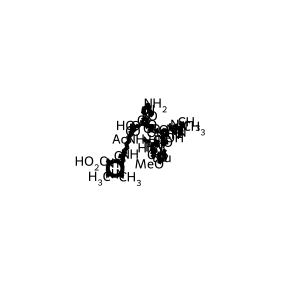 COc1ccc(C[C@H](NC(=O)[C@@H](CCCNC(C)=O)NC(=O)OC(C)(C)C)C(=O)NC2[C@@H](COP(=O)(O)OC3C[C@H](n4ccc(N)nc4=O)O[C@@H]3COP(=O)(O)OCCCCCCNC(=O)CN3CCN(C)CCN(C)CCN(CC(=O)O)CC3)O[C@@H](n3cnc4c(N(C)C)ncnc43)[C@H]2O)cc1